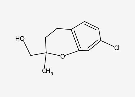 CC1(CO)CCc2ccc(Cl)cc2O1